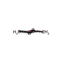 CCCCCCCCCCCCCOC(=O)C1CCC(C(=O)OCCCCCCCCCCCCC)CC1